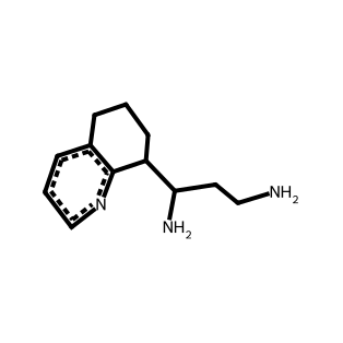 NCCC(N)C1CCCc2cccnc21